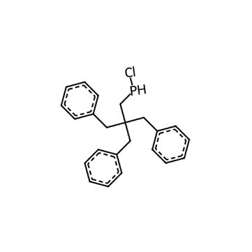 ClPCC(Cc1ccccc1)(Cc1ccccc1)Cc1ccccc1